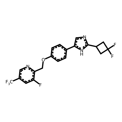 Fc1cc(C(F)(F)F)cnc1COc1ccc(-c2cnc(C3CC(F)(F)C3)[nH]2)cc1